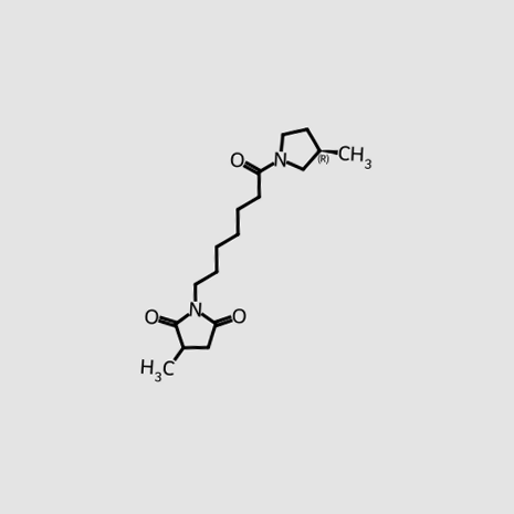 CC1CC(=O)N(CCCCCCC(=O)N2CC[C@@H](C)C2)C1=O